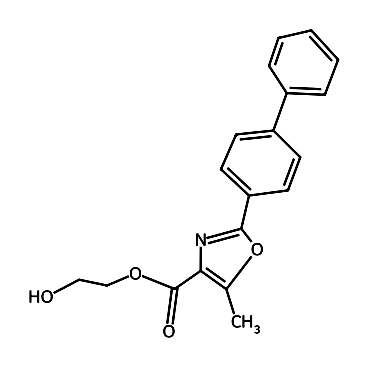 Cc1oc(-c2ccc(-c3ccccc3)cc2)nc1C(=O)OCCO